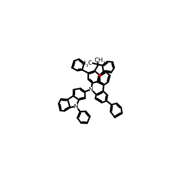 CC1(C)c2ccccc2-c2cc(N(c3ccc4c5ccccc5n(-c5ccccc5)c4c3)c3ccc(-c4ccccc4)cc3-c3ccccc3)cc(-c3ccccc3)c21